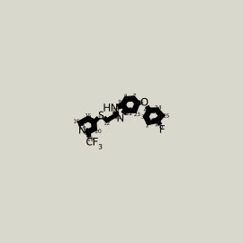 Fc1ccc(Oc2ccc3[nH]c(CSc4ccnc(C(F)(F)F)c4)nc3c2)cc1